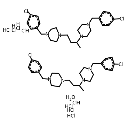 CC(CCN1CCN(Cc2ccc(Cl)cc2)CC1)N1CCN(Cc2ccc(Cl)cc2)CC1.CC(CCN1CCN(Cc2ccc(Cl)cc2)CC1)N1CCN(Cc2ccc(Cl)cc2)CC1.Cl.Cl.Cl.Cl.Cl.Cl.Cl.Cl.O